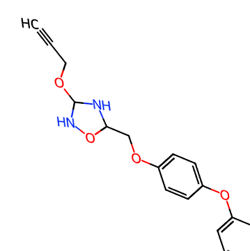 C#CCOC1NOC(COc2ccc(Oc3ccccc3)cc2)N1